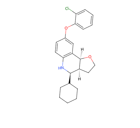 Clc1ccccc1Oc1ccc2c(c1)[C@H]1OCC[C@H]1[C@@H](C1CCCCC1)N2